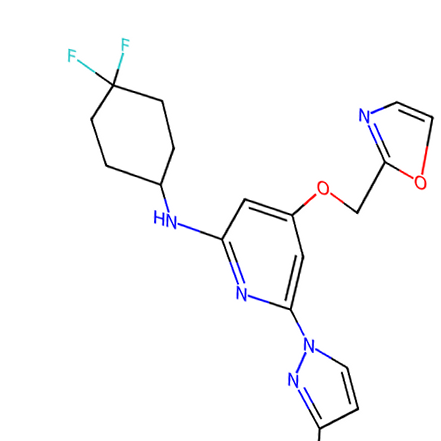 Cc1ccn(-c2cc(OCc3ncco3)cc(NC3CCC(F)(F)CC3)n2)n1